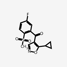 CS(=O)(=O)c1ccc(F)cc1C(=O)c1cnoc1C1CC1